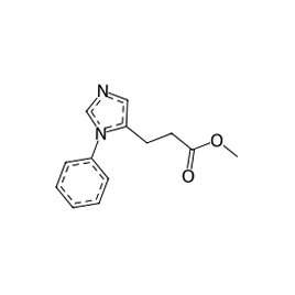 COC(=O)CCc1cncn1-c1ccccc1